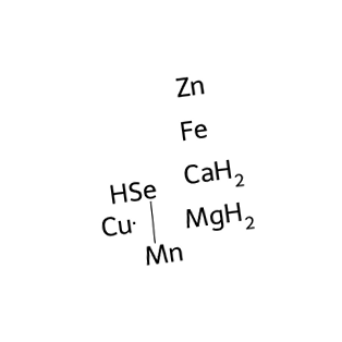 [CaH2].[Cu].[Fe].[MgH2].[Mn][SeH].[Zn]